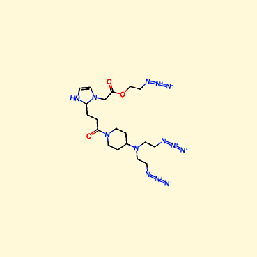 [N-]=[N+]=NCCOC(=O)CN1C=CNC1CCC(=O)N1CCC(N(CCN=[N+]=[N-])CCN=[N+]=[N-])CC1